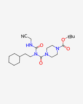 CC(C)(C)OC(=O)N1CCN(C(=O)N(CCC2CCCCC2)C(=O)NCC#N)CC1